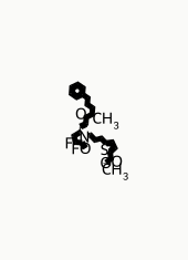 COC(=O)c1ccc(CCCN2C(=O)C(F)(F)C[C@@H]2/C=C/C(=O)[C@H](C)CCCc2ccccc2)s1